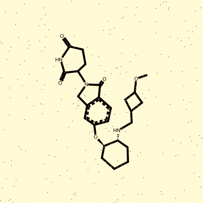 COC1CC(CN[C@@H]2CCCC[C@H]2Oc2ccc3c(c2)CN(C2CCC(=O)NC2=O)C3=O)C1